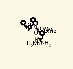 COc1cc(Cc2cnc(N)nc2N)cc(C(=O)/C=C/N2CCc3ccccc3C2c2cc(C)n(Cc3ccccc3)n2)c1OC